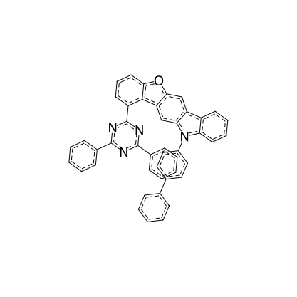 c1ccc(-c2ccc(-n3c4ccccc4c4cc5oc6cccc(-c7nc(-c8ccccc8)nc(-c8ccccc8)n7)c6c5cc43)cc2)cc1